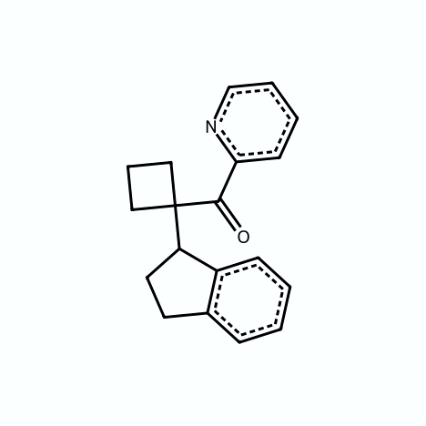 O=C(c1ccccn1)C1(C2CCc3ccccc32)CCC1